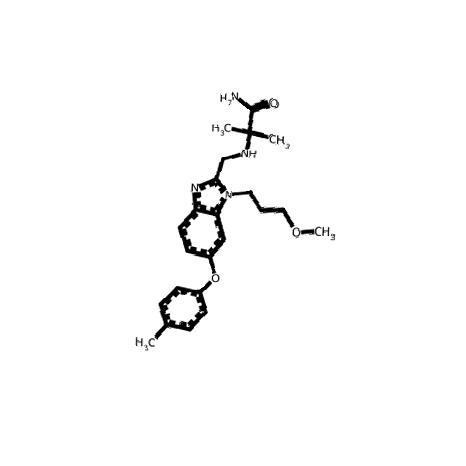 COCCCn1c(CNC(C)(C)C(N)=O)nc2ccc(Oc3ccc(C)cc3)cc21